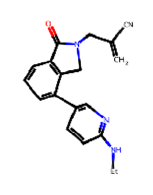 C=C(C#N)CN1Cc2c(cccc2-c2ccc(NCC)nc2)C1=O